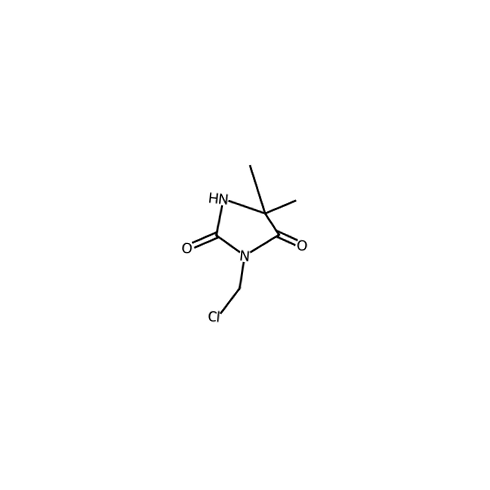 CC1(C)NC(=O)N(CCl)C1=O